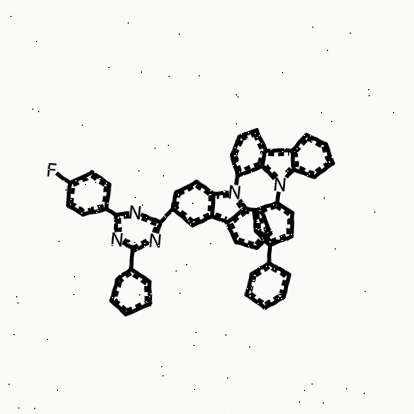 Fc1ccc(-c2nc(-c3ccccc3)nc(-c3ccc4c(c3)c3ccccc3n4-c3cccc4c5ccccc5n(-c5ccc(-c6ccccc6)cc5)c34)n2)cc1